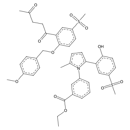 CCOC(=O)c1cccc(-n2c(C)ccc2-c2cc(S(C)(=O)=O)ccc2O)c1.COc1ccc(COc2ccc(S(C)(=O)=O)cc2C(=O)CCC(C)=O)cc1